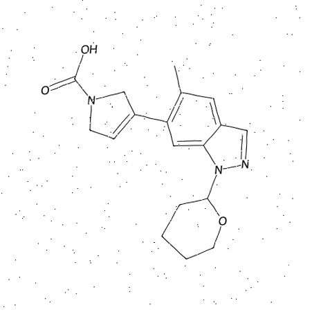 Cc1cc2cnn(C3CCCCO3)c2cc1C1=CCN(C(=O)O)C1